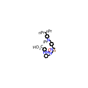 CCCC(CCC)c1ccc(N(Cc2ccc(-c3csc(CN(CC4CCCCC4)C(=O)Nc4ccc(C(=O)O)cc4)n3)cc2)C(C)C)cc1